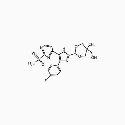 CC1(CO)COC(c2nc(-c3ccc(F)cc3)c(-c3ccnc(S(C)(=O)=O)n3)[nH]2)OC1